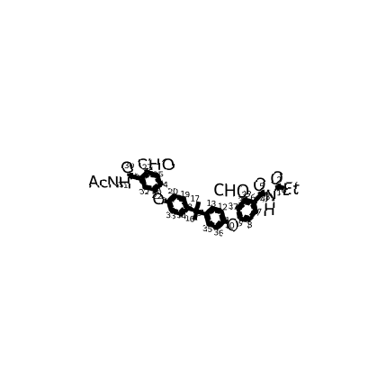 CCC(=O)NC(=O)c1ccc(Oc2ccc(C(C)(C)c3ccc(Oc4ccc(C=O)c(C(=O)NC(C)=O)c4)cc3)cc2)cc1C=O